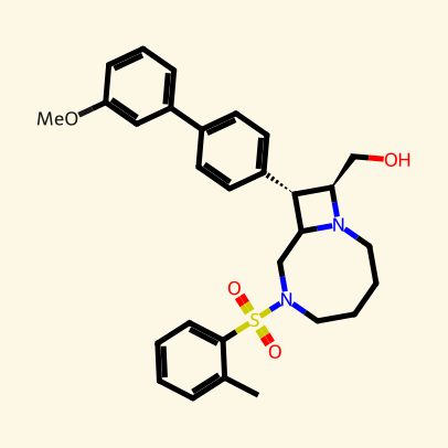 COc1cccc(-c2ccc([C@H]3C4CN(S(=O)(=O)c5ccccc5C)CCCCN4[C@@H]3CO)cc2)c1